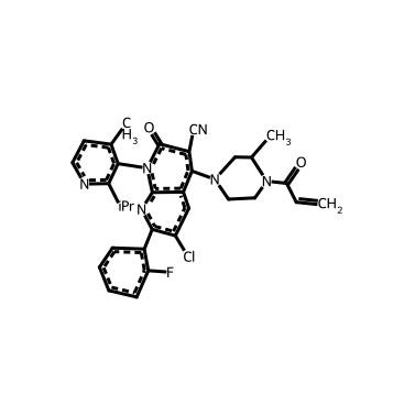 C=CC(=O)N1CCN(c2c(C#N)c(=O)n(-c3c(C)ccnc3C(C)C)c3nc(-c4ccccc4F)c(Cl)cc23)CC1C